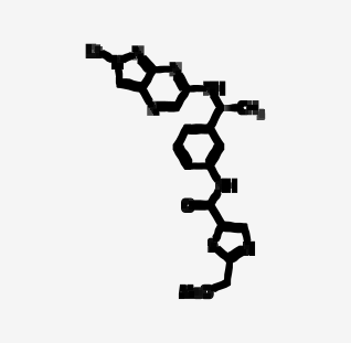 CCn1cc2ncc(N[C@@H](C)c3cccc(NC(=O)c4cnc(COC)s4)c3)nc2n1